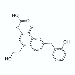 O=C(O)Oc1cn(CCO)c2ccc(Cc3ccccc3O)cc2c1=O